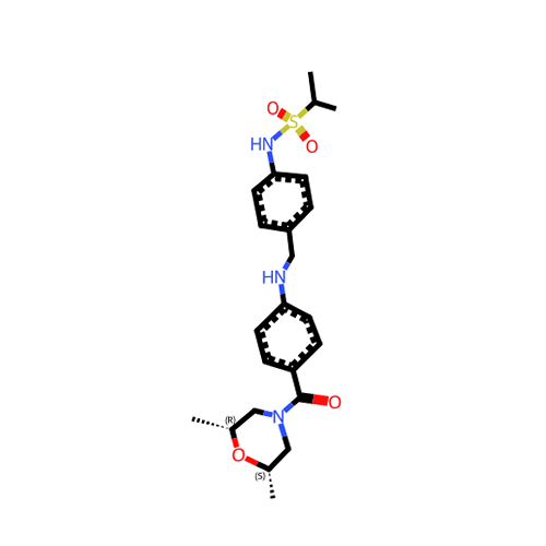 CC(C)S(=O)(=O)Nc1ccc(CNc2ccc(C(=O)N3C[C@@H](C)O[C@@H](C)C3)cc2)cc1